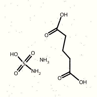 N.NS(=O)(=O)O.O=C(O)CCCC(=O)O